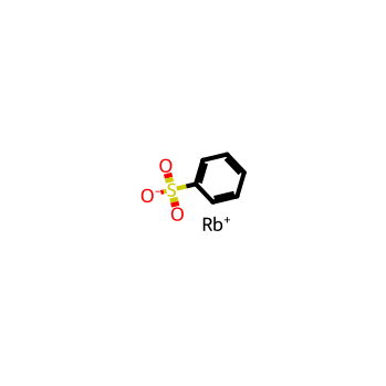 O=S(=O)([O-])c1ccccc1.[Rb+]